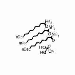 CCCCCCCCCCCCCCCCCC(N)=O.CCCCCCCCCCCCCCCCCC(N)=O.CCCCCCCCCCCCCCCCCC(N)=O.O=P(O)(O)O